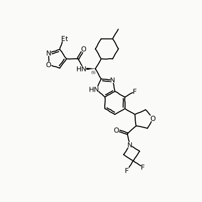 CCc1nocc1C(=O)N[C@H](c1nc2c(F)c(C3COCC3C(=O)N3CC(F)(F)C3)ccc2[nH]1)C1CCC(C)CC1